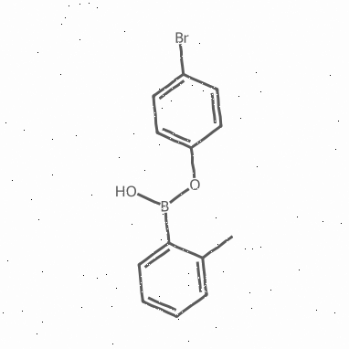 Cc1ccccc1B(O)Oc1ccc(Br)cc1